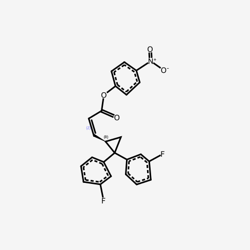 O=C(/C=C\[C@H]1CC1(c1cccc(F)c1)c1cccc(F)c1)Oc1ccc([N+](=O)[O-])cc1